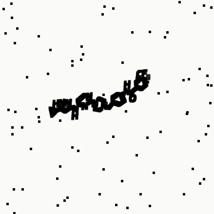 O=C(Nc1ccc(CN2CCN(c3nccc(Nc4cc(C5CC5)[nH]n4)n3)CC2)cc1)c1cccc(C(F)(F)F)c1